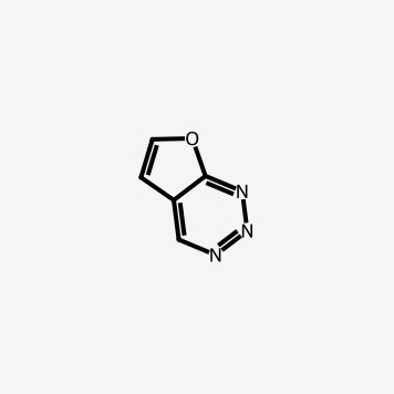 c1cc2cnnnc2o1